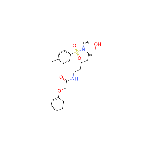 CCCN([C@H](CO)CCCCNC(=O)COC1=CC=CCC1)S(=O)(=O)c1ccc(C)cc1